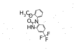 COc1ccccc1-n1c(=O)[nH]c2cc(C(F)(F)F)ccc21